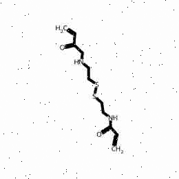 C=CC(=O)CNCCSSCCNC(=O)C=C